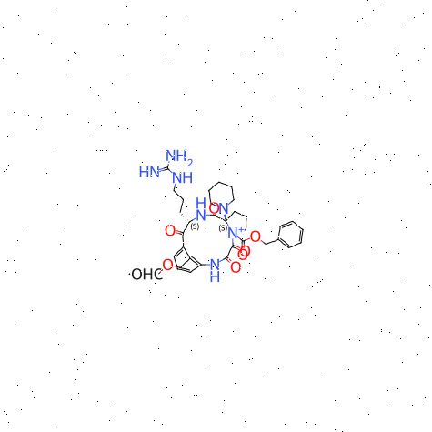 N=C(N)NCCC[C@@H]1NC(=O)[C@]2(N3CCCCC3)CCC[N+]2(C(=O)OCc2ccccc2)C(=O)C(=O)Nc2cccc(c2CO[C]=O)C1=O